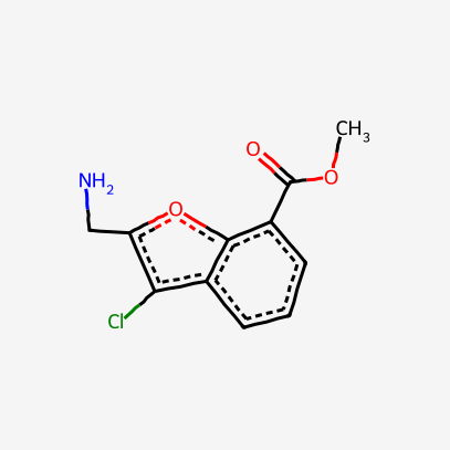 COC(=O)c1cccc2c(Cl)c(CN)oc12